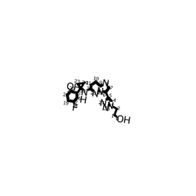 OCCn1cc(-c2cnc3ccc(NC4(c5cc(F)ccc5O)CC4)nn23)nn1